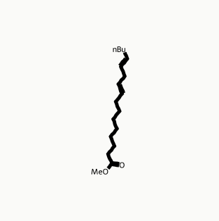 CCCC/C=C/C/C=C/CCCCCCCC(=O)OC